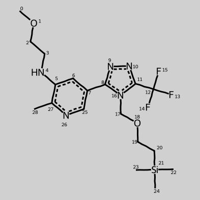 COCCNc1cc(-c2nnc(C(F)(F)F)n2COCC[Si](C)(C)C)cnc1C